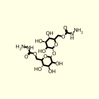 NNC(=O)OCC1O[C@H](O[C@H]2OC(COC(=O)NN)[C@@H](O)[C@H](O)C2O)C(O)[C@@H](O)[C@@H]1O